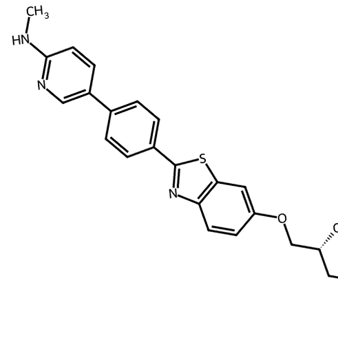 CNc1ccc(-c2ccc(-c3nc4ccc(OC[C@H](O)CF)cc4s3)cc2)cn1